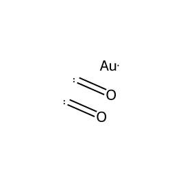 [Au].[C]=O.[C]=O